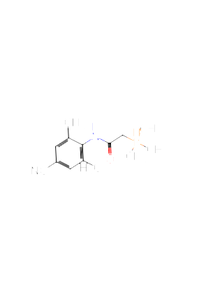 Cc1cc(C#N)cc(C)c1NC(=O)C[PH](C)(C)C